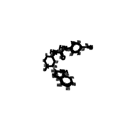 CN1CC[C@@H](NC(=O)Nc2ccc(C#N)cn2)C[C@@H]1c1nc2ccccc2[nH]1